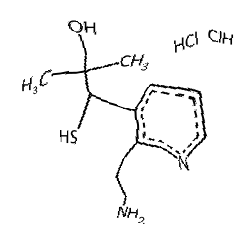 CC(C)(O)C(S)c1cccnc1CN.Cl.Cl